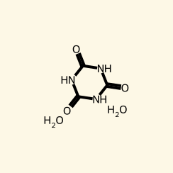 O.O.O=c1[nH]c(=O)[nH]c(=O)[nH]1